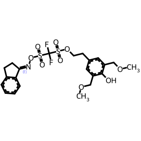 COCc1cc(CCOS(=O)(=O)C(F)(F)S(=O)(=O)O/N=C2\CCc3ccccc32)cc(COC)c1O